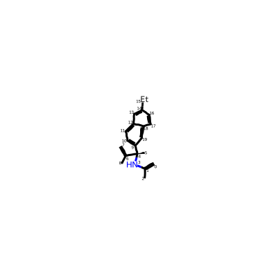 C=C(C)N[C@](C)(C(=C)C)c1ccc2cc(CC)ccc2c1